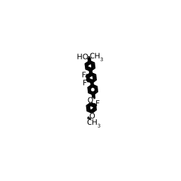 CCOc1ccc(OCC2CCC(c3ccc(-c4ccc(C(C)O)cc4)c(F)c3F)CC2)c(F)c1